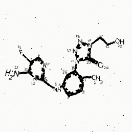 Cc1ccc(Nc2ncc(F)c(N)n2)cc1-n1nnn(CCO)c1=O